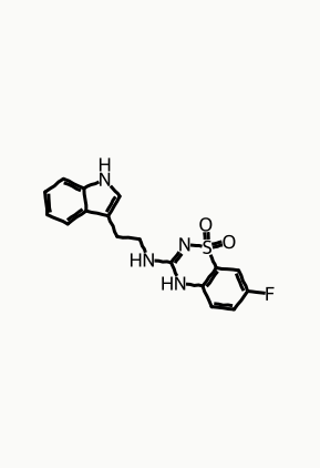 O=S1(=O)N=C(NCCc2c[nH]c3ccccc23)Nc2ccc(F)cc21